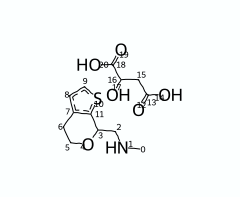 CNCC1OCCc2ccsc21.O=C(O)CC(O)C(=O)O